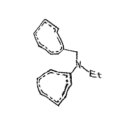 [CH2]CN(Cc1ccccc1)c1ccccc1